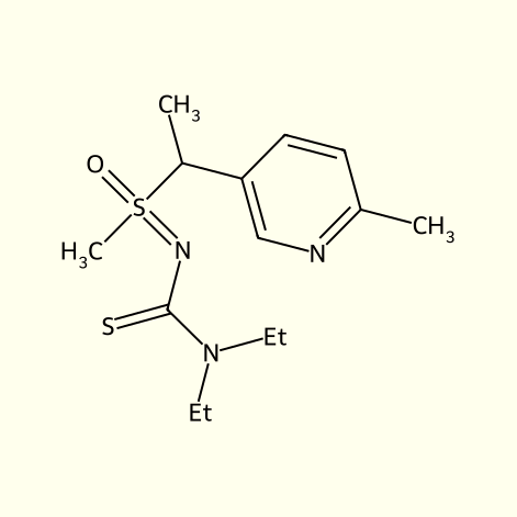 CCN(CC)C(=S)N=S(C)(=O)C(C)c1ccc(C)nc1